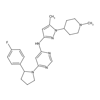 Cc1cc(Nc2cc(N3CCCC3c3ccc(F)cc3)ncn2)nn1C1CCN(C)CC1